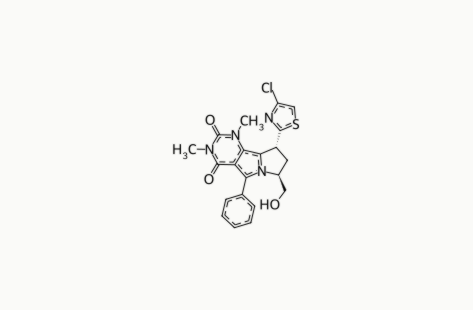 Cn1c(=O)c2c(-c3ccccc3)n3c(c2n(C)c1=O)[C@H](c1nc(Cl)cs1)C[C@H]3CO